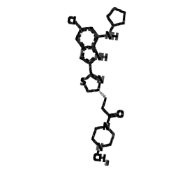 CN1CCN(C(=O)CC[C@@H]2CSC(c3cc4cc(Cl)cc(NC5CCCC5)c4[nH]3)=N2)CC1